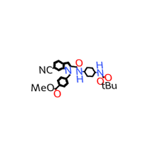 COC(=O)c1ccc(Cn2c(C(=O)NC3CCC(NC(=O)OC(C)(C)C)CC3)cc3ccc(C#N)cc32)cc1